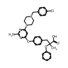 CC(Cc1ccc(Oc2cc(N3CCN(Cc4ccc(Cl)cc4)CC3)nc(N)n2)cc1)(Oc1ccccc1)C(=O)O